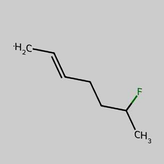 [CH2]/C=C/CCC(C)F